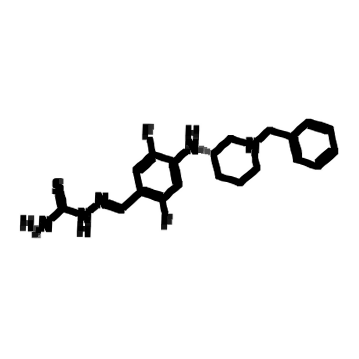 NC(=S)NN=Cc1cc(F)c(N[C@H]2CCCN(Cc3ccccc3)C2)cc1F